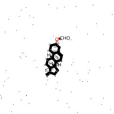 C=C1CC[C@H]2[C@@H]3CC=C4C[C@@H](OC=O)CC[C@]4(C)[C@H]3CC[C@]12C